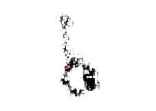 C=C1C2C[C@@H]3O[C@H](C[C@H](O)CNC(=O)CCOCCOCCN4C(=O)C=CC4=O)[C@H](OC)[C@H]3CC(=O)C[C@H]3CC[C@@H]4O[C@@H]5C6O[C@@H]7C[C@@](CC[C@H]8CC(=C)[C@H](CC[C@@H](C[C@H]1C)O2)O8)(O[C@H]57)O[C@H]6[C@H]4O3